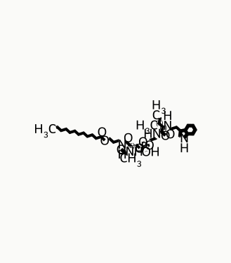 CCCCCCCCCCCC(=O)OCCCNC(=O)[C@H](COP(=O)(O)OCCNC(=O)[C@@H](NC(=O)Cc1c[nH]c2ccccc12)[C@@H](C)CC)NC(C)=O